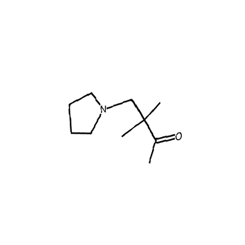 CC(=O)C(C)(C)CN1CCCC1